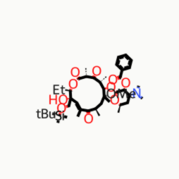 CC[C@H]1OC(=O)[C@H](C)C(=O)[C@H](C)[C@@H](OC2O[C@H](C)C[C@H](N(C)C)[C@H]2OC(=O)c2ccccc2)[C@@](C)(OC)C[C@@H](C)C(=O)/C(C)=C/[C@@]1(O)CO[Si](C)(C)C(C)(C)C